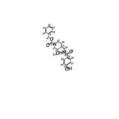 CO[C@H]1CN(C(=O)OCc2ccccc2)CC[C@H]1CNC(=O)c1ccc(O)cc1